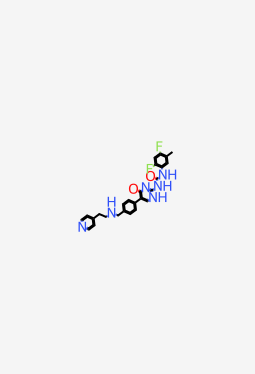 Cc1cc(NC(=O)Nc2nc(=O)c(-c3ccc(CNCCc4ccncc4)cc3)c[nH]2)c(F)cc1F